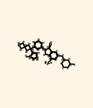 CC1CCCN(Cc2cc3c(c(C(F)(F)F)c2)CN(c2cccc(C4(c5nncn5C)CC5(COC5)C4)c2)C3=O)C1